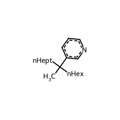 CCCCCCCC(C)(CCCCCC)c1cccnc1